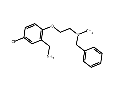 CN(CCOc1ccc(Cl)cc1CN)Cc1ccccc1